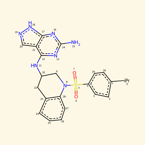 CC(C)c1ccc(S(=O)(=O)N2CC(Nc3nc(N)nc4[nH]ncc34)Cc3ccccc32)cc1